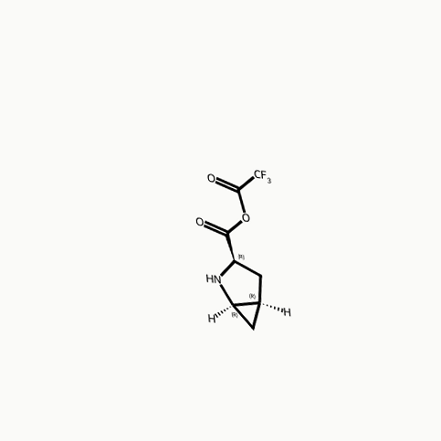 O=C(OC(=O)C(F)(F)F)[C@H]1C[C@H]2C[C@H]2N1